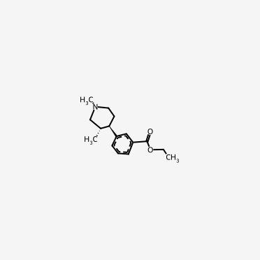 CCOC(=O)c1cccc([C@@H]2CCN(C)C[C@H]2C)c1